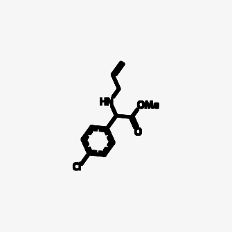 C=CCNC(C(=O)OC)c1ccc(Cl)cc1